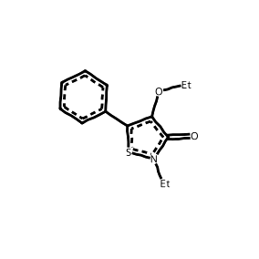 CCOc1c(-c2ccccc2)sn(CC)c1=O